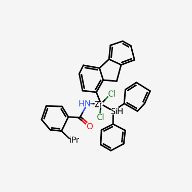 CC(C)c1ccccc1C(=O)[NH][Zr]([Cl])([Cl])([c]1cccc2c1Cc1ccccc1-2)[SiH](c1ccccc1)c1ccccc1